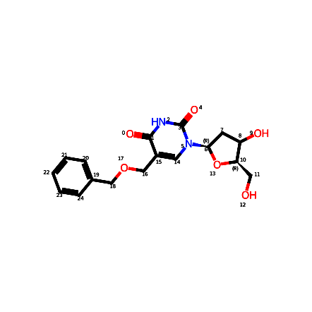 O=c1[nH]c(=O)n([C@H]2CC(O)[C@@H](CO)O2)cc1COCc1ccccc1